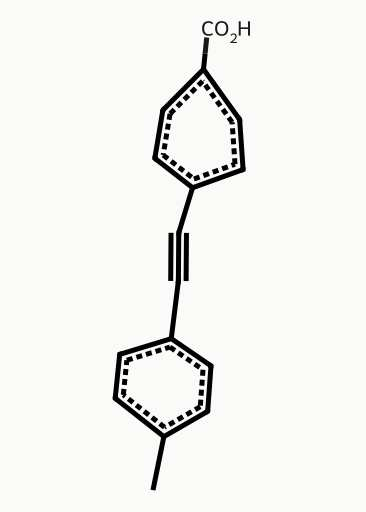 Cc1ccc(C#Cc2ccc(C(=O)O)cc2)cc1